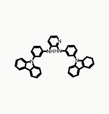 C1=Cc2c(n(-c3cccc(Nc4ncccc4Nc4cccc(-n5c6ccccc6c6ccccc65)c4)c3)c3ccccc23)CC1